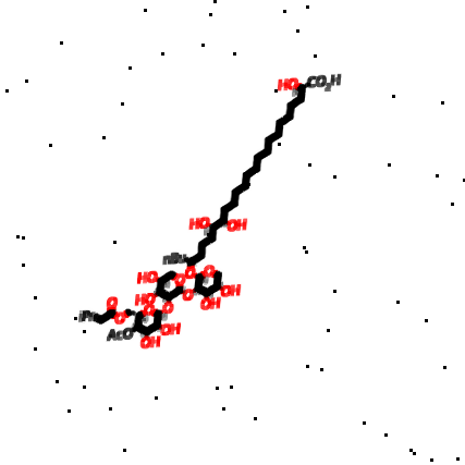 CCCC[C@@H](CCC[C@H](O)[C@@H](O)CCCCCCCCCCCCCC[C@H](O)C(=O)O)O[C@H]1OC[C@H](O)[C@@H](O)[C@@H]1O[C@H]1OC[C@H](O)[C@@H](O)[C@@H]1O[C@H]1O[C@@H](COC(=O)CC(C)C)[C@H](OC(C)=O)[C@@H](O)[C@@H]1O